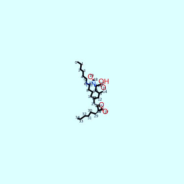 CCCCCCCCCCC[C@@H](CC(C)CC(NC=O)C(=O)O)C[C@@H]1OC(=O)[C@H]1CCCCCC